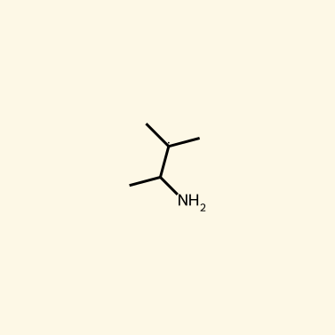 C[C](C)C(C)N